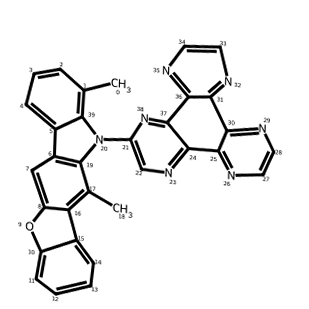 Cc1cccc2c3cc4oc5ccccc5c4c(C)c3n(-c3cnc4c5nccnc5c5nccnc5c4n3)c12